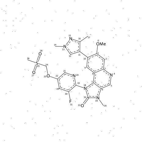 COc1cc2ncc3c(c2cc1-c1cn(C)nc1C)n(-c1ncc(OCS(C)(=O)=O)cc1F)c(=O)n3C